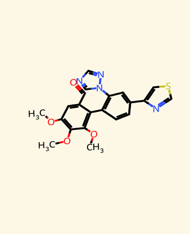 COc1cc(C=O)c(-c2ccc(-c3cscn3)cc2-n2cncn2)c(OC)c1OC